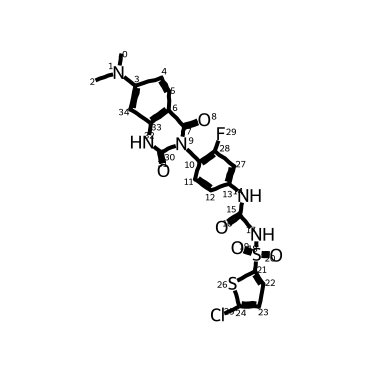 CN(C)c1ccc2c(=O)n(-c3ccc(NC(=O)NS(=O)(=O)c4ccc(Cl)s4)cc3F)c(=O)[nH]c2c1